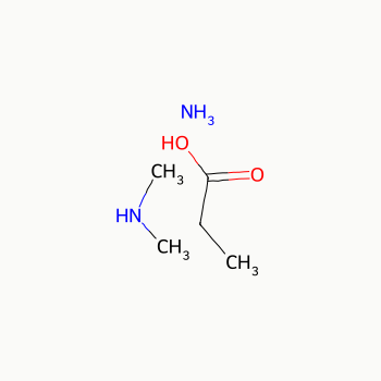 CCC(=O)O.CNC.N